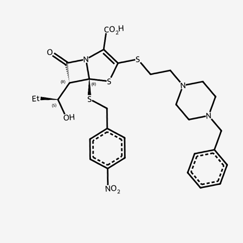 CC[C@H](O)[C@@H]1C(=O)N2C(C(=O)O)=C(SCCN3CCN(Cc4ccccc4)CC3)S[C@]12SCc1ccc([N+](=O)[O-])cc1